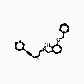 CN(C/C=C\C#Cc1ccccc1)Cc1cccc(OCc2ccccc2)c1